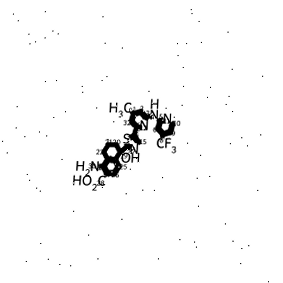 Cc1cc(Nc2cc(C(F)(F)F)ccn2)nc(-c2cnc(C3(O)CCCc4c3ccc(C(=O)O)c4N)s2)c1